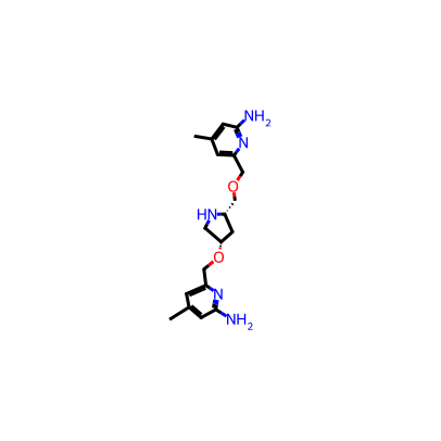 Cc1cc(N)nc(COC[C@@H]2C[C@H](OCc3cc(C)cc(N)n3)CN2)c1